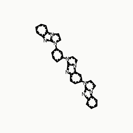 c1cc(-n2ccn3c4ccccc4nc23)cc(-n2ccn3c4cc(-n5ccn6c7ccccc7nc56)ccc4nc23)c1